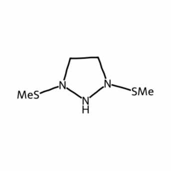 CSN1CCN(SC)N1